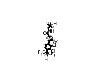 CC(=O)c1nc(C(=O)NCC(C)(C)O)sc1-c1ccc(C(O)(C(F)(F)F)C(F)(F)F)c(Cl)c1Cl